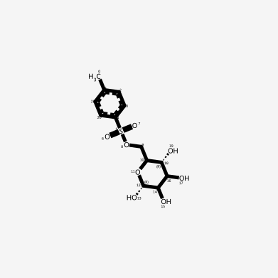 Cc1ccc(S(=O)(=O)OCC2O[C@@H](O)C(O)C(O)[C@H]2O)cc1